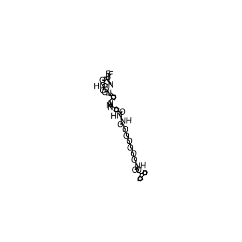 N#C[C@@H]1CC(F)(F)CN1C(=O)[C@@H]1C[C@@H](CC(=O)N2Cc3cccc(Cn4cc(-c5ccc(C(=O)NCCNC(=O)CCOCCOCCOCCOCCOCCOCCNC(=O)OCC6c7ccccc7-c7ccccc76)cc5)nn4)c3C2)C(=O)N1